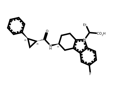 CCC(C(=O)O)n1c2c(c3cc(F)ccc31)C[C@@H](NC(=O)[C@@H]1C[C@H]1c1ccccc1)CC2